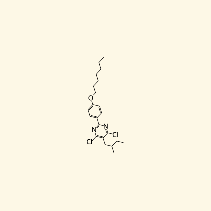 CCCCCCCOc1ccc(-c2nc(Cl)c(CC(C)CC)c(Cl)n2)cc1